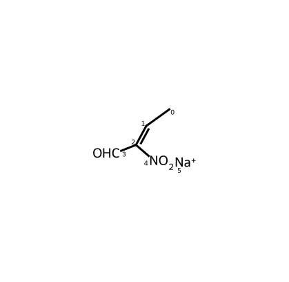 CC=C(C=O)[N+](=O)[O-].[Na+]